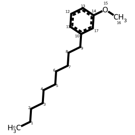 CCCCCCCCCCc1cccc(OC)c1